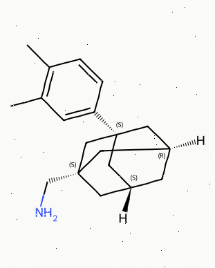 Cc1ccc([C@]23C[C@@H]4C[C@@H](C[C@@](CN)(C4)C2)C3)cc1C